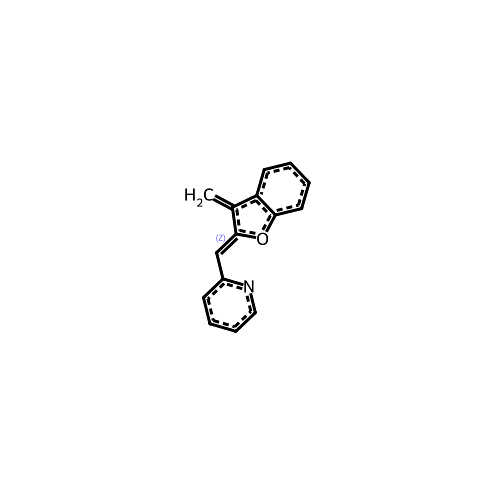 C=c1/c(=C/c2ccccn2)oc2ccccc12